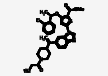 C=C(c1ccc2ncn(-c3cc(O[C@H](C)c4ccccc4Cl)c(C(=O)OC)s3)c2c1)C1CCN(C(=O)CC(C)(C)C)CC1